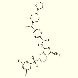 C=C1N=C(NC(=O)c2ccc(C(=O)N3CCC(N4CCCC4)CC3)cc2)c2cc(S(=O)(=O)c3cc(F)cc(F)c3)ccc21